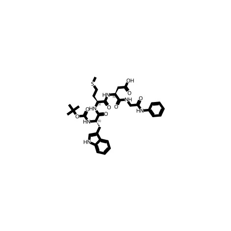 CSCC[C@H](NC(=O)[C@H](Cc1c[nH]c2ccccc12)NC(=O)OC(C)(C)C)C(=O)N[C@@H](CC(=O)O)C(=O)NCC(=O)Nc1ccccc1